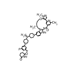 Cc1cc2cc(n1)-c1cnn(C)c1OCCC[C@@H](C)CN1/C(=N/C2=O)Nc2ccc(N3CCC(N(C)C4CCN(c5cc(F)c([C@H]6CCC(=O)NC6=O)c(F)c5)CC4)CC3)cc21